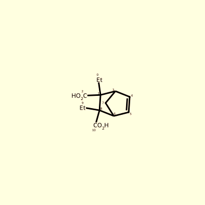 CCC1(C(=O)O)C2C=CC(C2)C1(CC)C(=O)O